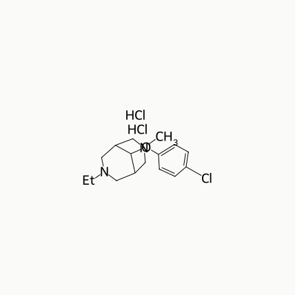 CCN1CC2CN(C)CC(C1)C2Oc1ccc(Cl)cc1.Cl.Cl